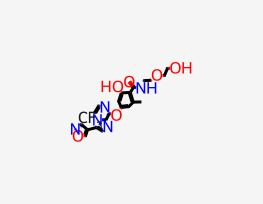 Cc1cc(Oc2nccn3c(-c4conc4C(F)(F)F)cnc23)cc(O)c1C(=O)NCCOCCO